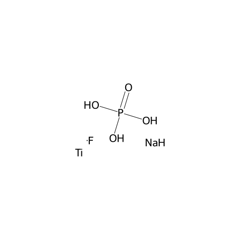 O=P(O)(O)O.[F].[NaH].[Ti]